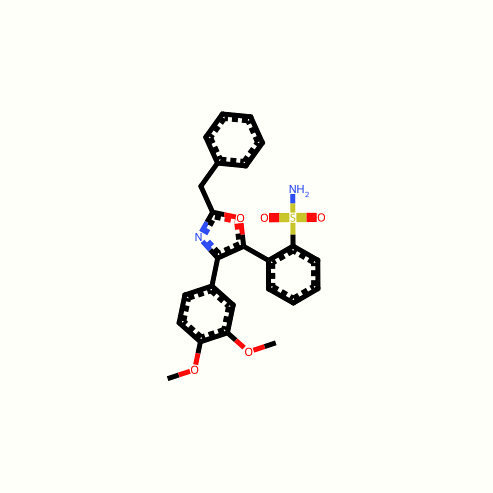 COc1ccc(-c2nc(Cc3ccccc3)oc2-c2ccccc2S(N)(=O)=O)cc1OC